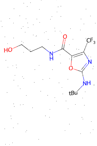 CC(C)(C)Nc1nc(C(F)(F)F)c(C(=O)NCCCO)o1